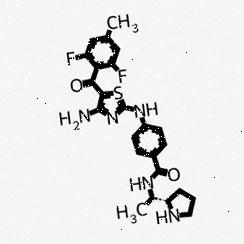 Cc1cc(F)c(C(=O)c2sc(Nc3ccc(C(=O)NC(C)[C@@H]4CCCN4)cc3)nc2N)c(F)c1